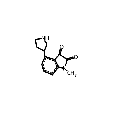 CN1C(=O)C(=O)c2c(C3CCNC3)cccc21